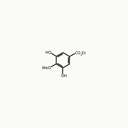 CCOC(=O)c1cc(O)c(OC)c(O)c1